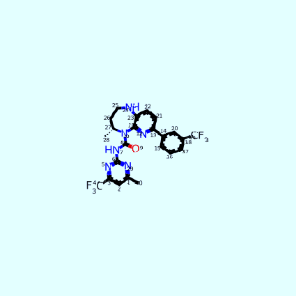 Cc1cc(C(F)(F)F)nc(NC(=O)N2c3nc(-c4cccc(C(F)(F)F)c4)ccc3NCC[C@H]2C)n1